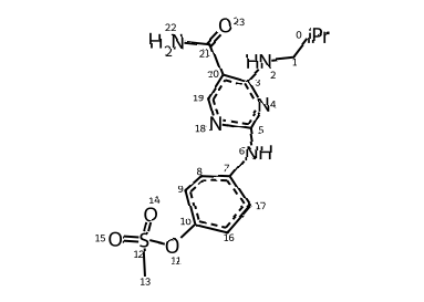 CC(C)CNc1nc(Nc2ccc(OS(C)(=O)=O)cc2)ncc1C(N)=O